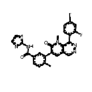 Cc1ccc(C(=O)Nc2nccs2)cc1-c1cc2cnnc(-c3ccc(F)cc3F)c2n(C)c1=O